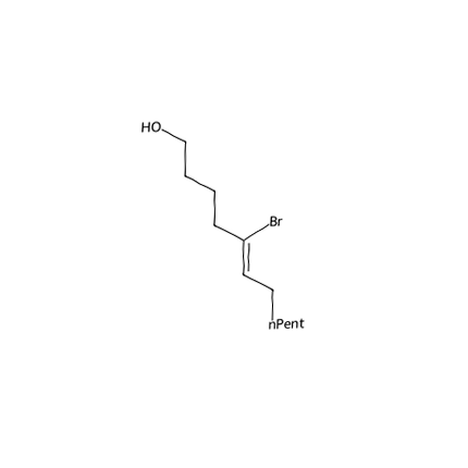 CCCCCC/C=C(\Br)CCCCO